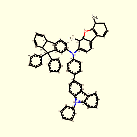 CC1CC=CC2=C1OC1C2=CC=C(N(c2ccc(-c3ccc4c(c3)c3ccccc3n4-c3ccccc3)cc2)c2ccc3c(c2)C(c2ccccc2)(c2ccccc2)C2C=CC=CC32)C1C